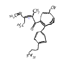 C=N/C(C)=C(\C)C(=O)c1cc(C#N)ccc1-c1ccc(CCN)cc1